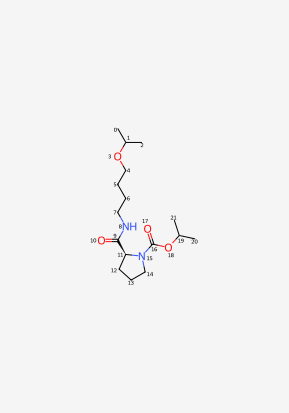 CC(C)OCCCCNC(=O)[C@@H]1CCCN1C(=O)OC(C)C